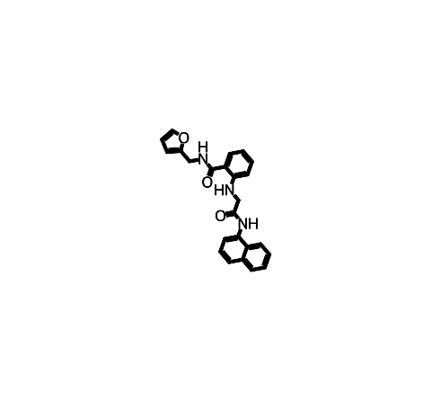 O=C(CNc1ccccc1C(=O)NCc1ccco1)Nc1cccc2ccccc12